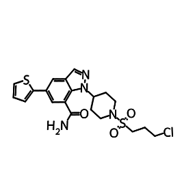 NC(=O)c1cc(-c2cccs2)cc2cnn(C3CCN(S(=O)(=O)CCCCl)CC3)c12